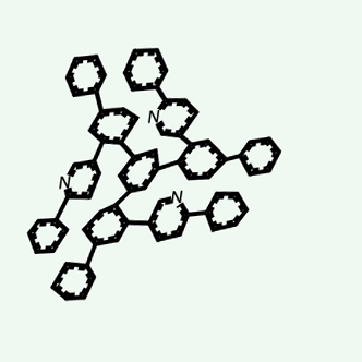 c1ccc(-c2ccc(-c3cc(-c4ccc(-c5ccccc5)cc4-c4ccc(-c5ccccc5)nc4)cc(-c4ccc(-c5ccccc5)cc4-c4ccc(-c5ccccc5)nc4)c3)c(-c3ccc(-c4ccccc4)nc3)c2)cc1